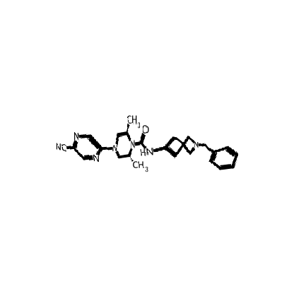 C[C@@H]1CN(c2cnc(C#N)cn2)C[C@@H](C)N1C(=O)NC1CC2(C1)CN(Cc1ccccc1)C2